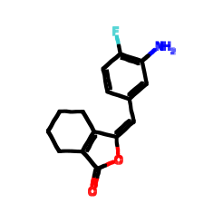 Nc1cc(/C=C2/OC(=O)C3=C2CCCC3)ccc1F